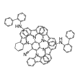 N#Cc1c(-n2c3c(c4ccccc42)CCC=C3)c(-n2c3ccccc3c3cc(Nc4ccccc4-c4ccccc4)ccc32)c(-n2c3ccccc3c3ccccc32)c(-n2c3ccccc3c3cc(Nc4ccccc4-c4ccccc4)ccc32)c1-n1c2ccccc2c2ccccc21